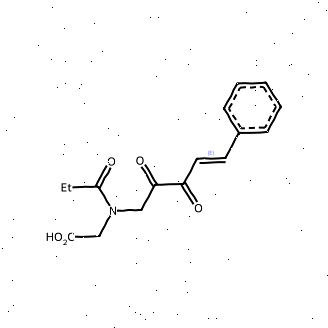 CCC(=O)N(CC(=O)O)CC(=O)C(=O)/C=C/c1ccccc1